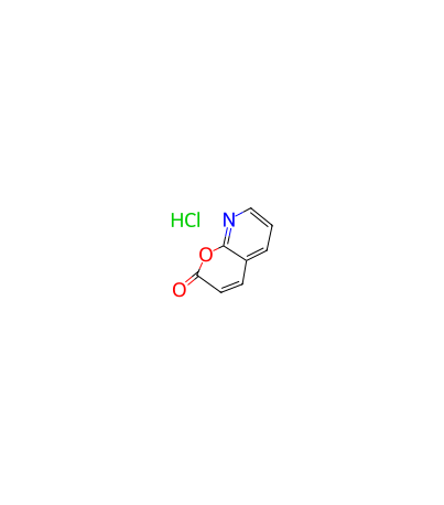 Cl.O=c1ccc2cccnc2o1